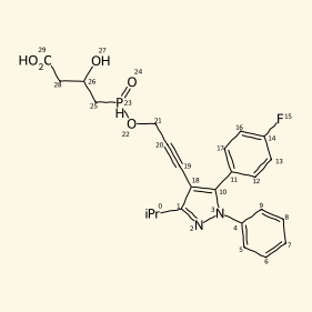 CC(C)c1nn(-c2ccccc2)c(-c2ccc(F)cc2)c1C#CCO[PH](=O)CC(O)CC(=O)O